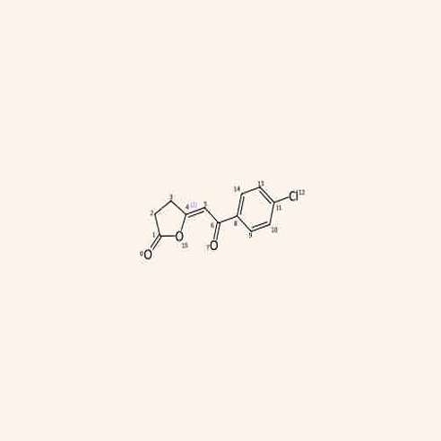 O=C1CC/C(=C/C(=O)c2ccc(Cl)cc2)O1